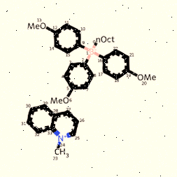 CCCCCCCC[B-](c1ccc(OC)cc1)(c1ccc(OC)cc1)c1ccc(OC)cc1.C[n+]1cccc2ccccc21